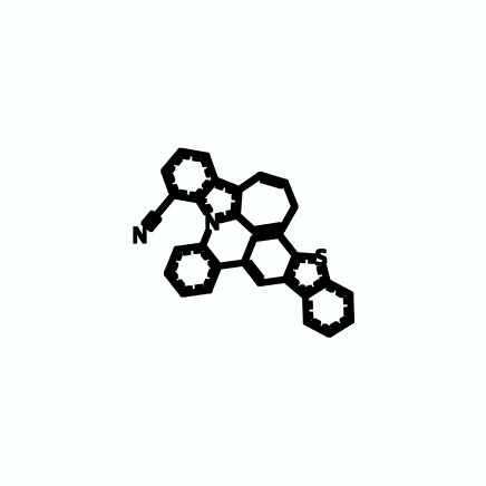 N#Cc1cccc2c3c(n(-c4ccccc4C4=Cc5c(sc6ccccc56)CC4)c12)C#CCC=C3